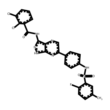 Cc1ccc(F)c(S(=O)(=O)Nc2ccc(-c3cnc4c(NC(=O)c5cccc(Cl)c5Cl)n[nH]c4n3)cc2)c1